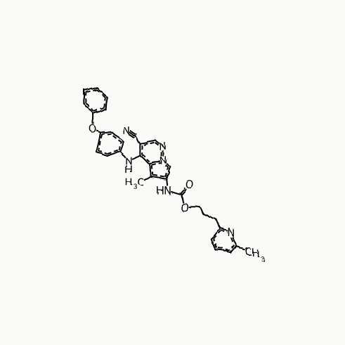 Cc1cccc(CCCOC(=O)Nc2cn3ncc(C#N)c(Nc4ccc(Oc5ccccc5)cc4)c3c2C)n1